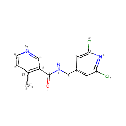 O=C(NCc1cc(Cl)nc(Cl)c1)c1cnccc1C(F)(F)F